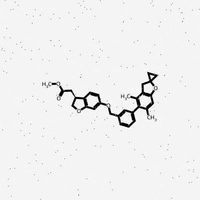 COC(=O)C[C@@H]1COc2cc(OCc3cccc(-c4c(C)cc5c(c4C)CC4(CC4)O5)c3)ccc21